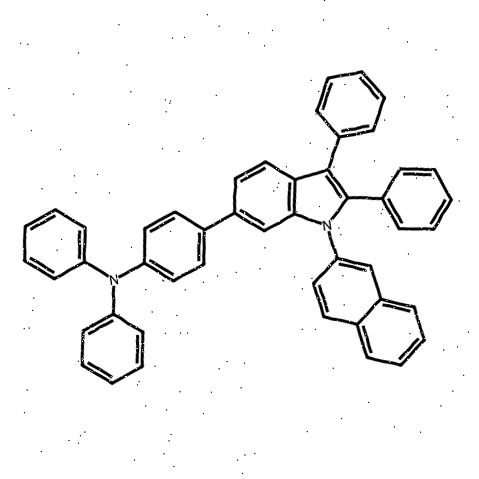 c1ccc(-c2c(-c3ccccc3)n(-c3ccc4ccccc4c3)c3cc(-c4ccc(N(c5ccccc5)c5ccccc5)cc4)ccc23)cc1